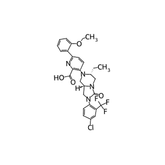 CCOc1ccccc1-c1ccc(N2C[C@H]3CN(c4ccc(Cl)cc4C(F)(F)F)C(=O)N3C[C@H]2CC)c(C(=O)O)n1